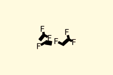 C#CF.C=C(F)F.FC=C(F)F